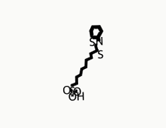 O=S(=O)(O)CCCCCCCCCC(=S)c1nc2ccccc2s1